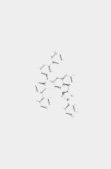 c1ccc(-c2cccc(N(c3cccc(-c4ccccc4)c3)c3cc4c5c(cccc5c3)-c3nc(-c5ccccc5)sc3-4)c2)cc1